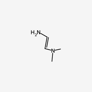 CN(C)C=CN